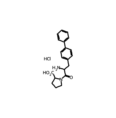 Cl.NC(Cc1ccc(-c2ccccc2)cc1)C(=O)N1CCCC1C(=O)O